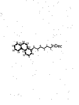 [CH2]CCCCCCCCCCCCCCCc1cccc2c1ccc1ccccc12